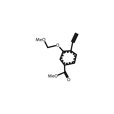 C#Cc1ccc(C(=O)OC)cc1OCOC